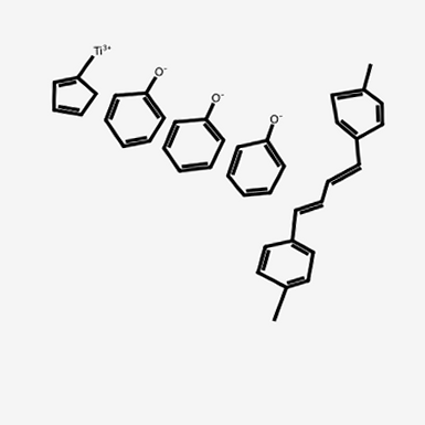 Cc1ccc(C=CC=Cc2ccc(C)cc2)cc1.[O-]c1ccccc1.[O-]c1ccccc1.[O-]c1ccccc1.[Ti+3][C]1=CC=CC1